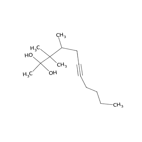 CCCCC#CCC(C)C(C)(C)C(C)(O)O